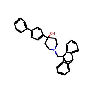 OC1(c2ccc(-c3ccccc3)cc2)CCN(CC23CC(c4ccccc42)c2ccccc23)CC1